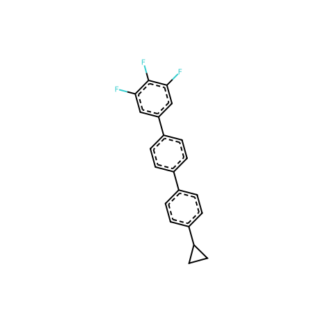 Fc1cc(-c2ccc(-c3ccc(C4CC4)cc3)cc2)cc(F)c1F